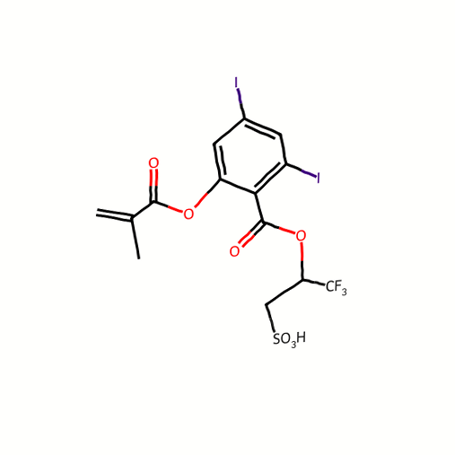 C=C(C)C(=O)Oc1cc(I)cc(I)c1C(=O)OC(CS(=O)(=O)O)C(F)(F)F